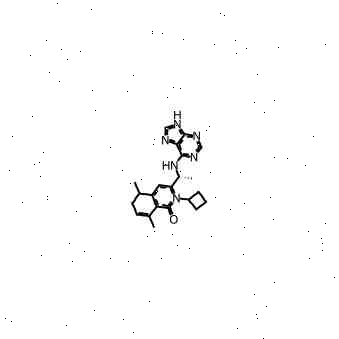 CC1=CCC(C)c2cc([C@@H](C)Nc3ncnc4[nH]cnc34)n(C3CCC3)c(=O)c21